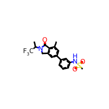 Cc1cc(-c2cccc(NS(C)(=O)=O)c2)cc2c1C(=O)N(C(C)C(F)(F)F)C2